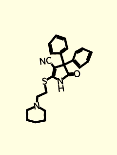 N#CC1=C(SCCN2CCCCC2)NC(=O)C1(c1ccccc1)c1ccccc1